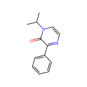 CC(C)n1ccnc(-c2ccccc2)c1=O